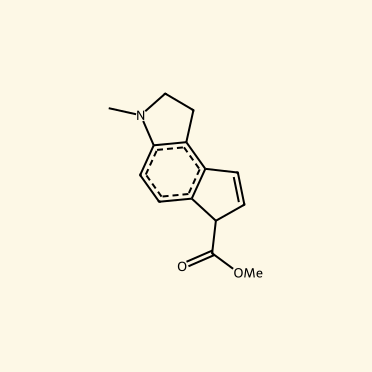 COC(=O)C1C=Cc2c1ccc1c2CCN1C